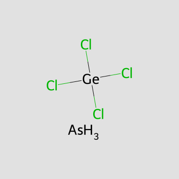 [AsH3].[Cl][Ge]([Cl])([Cl])[Cl]